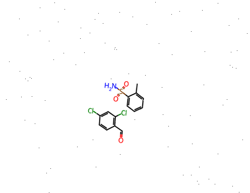 Cc1ccccc1S(N)(=O)=O.O=Cc1ccc(Cl)cc1Cl